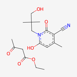 CCOC(=O)CC(C)=O.Cc1cc(O)n(CC(C)(C)CO)c(=O)c1C#N